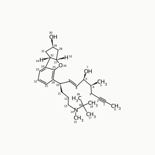 CC#CC[C@H](C)[C@H](O)/C=C/[C@@H](CCCN(C)C(C)(C)C)c1cccc2c1O[C@H]1C[C@H](O)C[C@@H]21